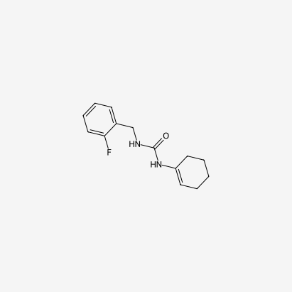 O=C(NCc1ccccc1F)NC1=CCCCC1